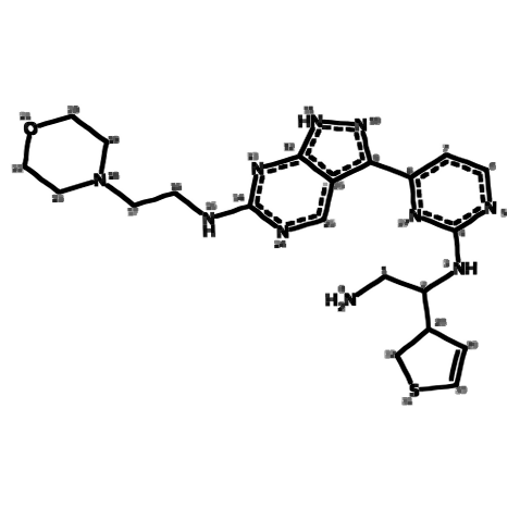 NCC(Nc1nccc(-c2n[nH]c3nc(NCCN4CCOCC4)ncc23)n1)C1C=CSC1